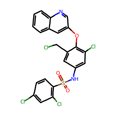 O=S(=O)(Nc1cc(Cl)c(Oc2cnc3ccccc3c2)c(CCl)c1)c1ccc(Cl)cc1Cl